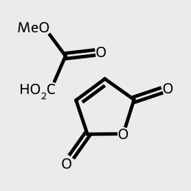 COC(=O)C(=O)O.O=C1C=CC(=O)O1